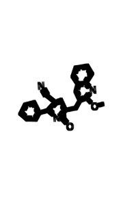 COc1nc2ccccc2cc1Cc1cc(C#N)c(-c2ccccc2)[nH]c1=O